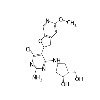 COc1cc2c(cn1)OC(c1c(Cl)nc(N)nc1N[C@@H]1C[C@H](CO)[C@@H](O)C1)C2